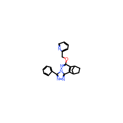 c1ccc(-c2nnc3c4c(c(OCc5ccccn5)nn23)C2CCC4C2)cc1